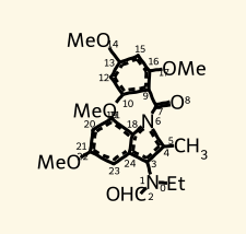 CCN(C=O)c1c(C)n(C(=O)c2c(OC)cc(OC)cc2OC)c2ccc(OC)cc12